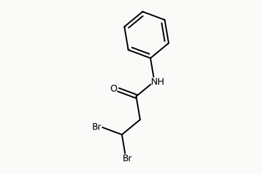 O=C(CC(Br)Br)Nc1ccccc1